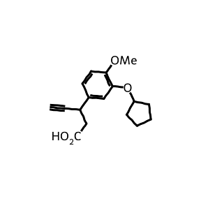 C#CC(CC(=O)O)c1ccc(OC)c(OC2CCCC2)c1